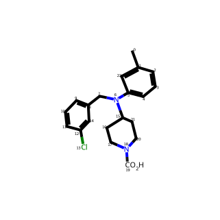 Cc1cccc(N(Cc2cccc(Cl)c2)C2CCN(C(=O)O)CC2)c1